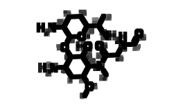 COC1CC(N)C(OC2OC(C(C)N)CCC2N)C(O)C1N(C)C(=O)CNC=O